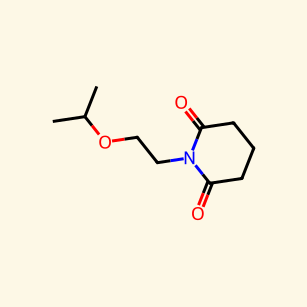 CC(C)OCCN1C(=O)CCCC1=O